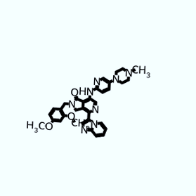 COc1ccc(CN2Cc3c(-c4cnc5ccccn45)ncc(Nc4ccc(N5CCN(C)CC5)cn4)c3C2=O)c(OC)c1